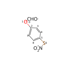 O=[C]Oc1ccc(S[N+](=O)[O-])cc1